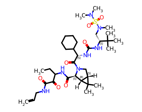 C=CCNC(=O)C(=O)C(CC)NC(=O)[C@@H]1[C@@H]2[C@H](CN1C(=O)[C@@H](NC(=O)N[C@H](CN(C)S(=O)(=O)N(C)C)C(C)(C)C)C1CCCCC1)C2(C)C